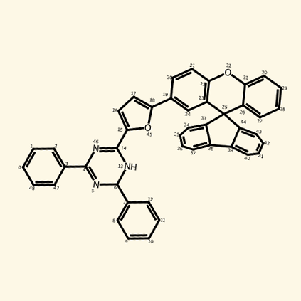 c1ccc(C2=NC(c3ccccc3)NC(c3ccc(-c4ccc5c(c4)C4(c6ccccc6O5)c5ccccc5-c5ccccc54)o3)=N2)cc1